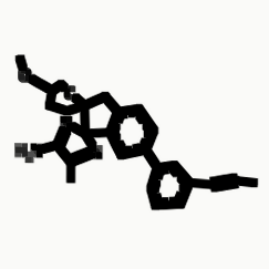 CC#Cc1cccc(-c2ccc3c(c2)C2(N=C(C)C(N)=N2)C2(CCC(OC)CC2)C3)c1